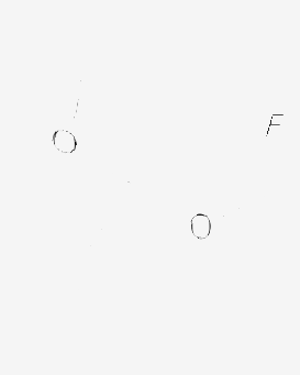 C#CC(CF)(OC)OC